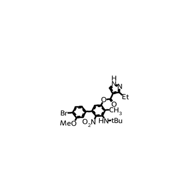 CCc1n[nH]cc1C(=O)Oc1cc(-c2ccc(Br)c(OC)c2)c([N+](=O)[O-])c(NC(C)(C)C)c1C